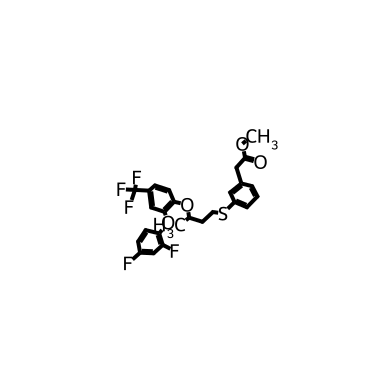 COC(=O)Cc1cccc(SCCC(C)Oc2ccc(C(F)(F)F)cc2Oc2ccc(F)cc2F)c1